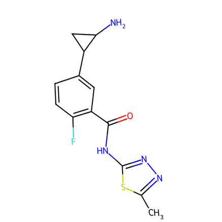 Cc1nnc(NC(=O)c2cc(C3CC3N)ccc2F)s1